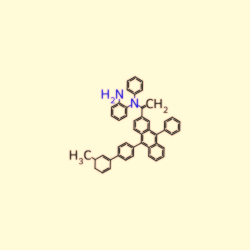 C=C(c1ccc2c(-c3ccc(C4=CC(C)CC=C4)cc3)c3ccccc3c(-c3ccccc3)c2c1)N(c1ccccc1)c1ccccc1N